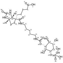 O=C(O)CCCC[C@]1(C(=O)NCCCCCNC(=O)O[C@H]2[C@H](O)[C@@H](OP(=O)(O)O)[C@@H](O)[C@@H](O)[C@@H]2O)SC[C@@H]2NC(=O)N[C@@H]21